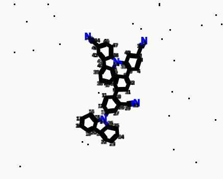 N#Cc1ccc(-c2ccc(-c3ccc(-n4c5ccccc5c5ccccc54)cc3C#N)cc2)c(-n2c3ccccc3c3cc(C#N)ccc32)c1